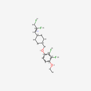 CCOc1ccc(OCC2CCC(/C=C(\F)CF)CC2)c(F)c1F